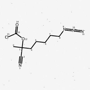 CC(C#N)(CCCCCN=[N+]=[N-])OC(=O)Cl